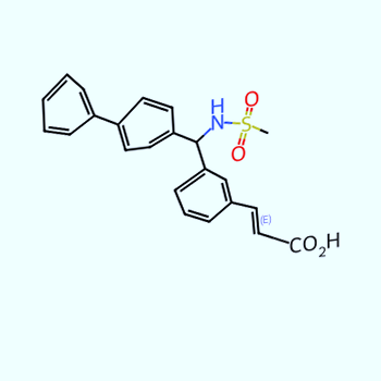 CS(=O)(=O)NC(c1ccc(-c2ccccc2)cc1)c1cccc(/C=C/C(=O)O)c1